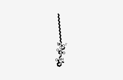 CCCCCCCCCCCCCCCCCCN(OC)C(=O)OC(CC)N1C(=O)CN(CCNC(=O)c2cccc[n+]2CC)C1=O.[I-]